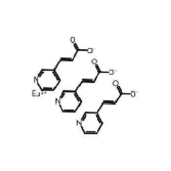 O=C([O-])/C=C/c1cccnc1.O=C([O-])/C=C/c1cccnc1.O=C([O-])/C=C/c1cccnc1.[Eu+3]